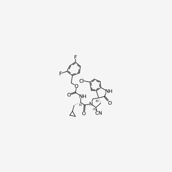 N#C[C@@H]1C[C@@]2(CN1C(=O)[C@H](CC1CC1)NC(=O)OCc1ccc(F)cc1F)C(=O)Nc1ccc(Cl)cc12